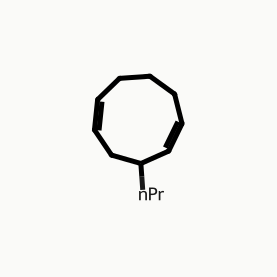 CCCC1C=CCCCC=CC1